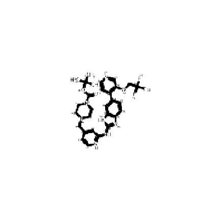 CC(C)(C)OC(=O)N1CCN(Cc2ccnc(Nc3nc4ccc(-c5ccncc5OCC(F)(F)F)cc4[nH]3)c2)CC1